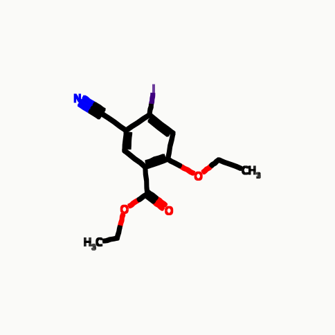 CCOC(=O)c1cc(C#N)c(I)cc1OCC